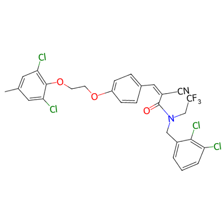 Cc1cc(Cl)c(OCCOc2ccc(C=C(C#N)C(=O)N(Cc3cccc(Cl)c3Cl)CC(F)(F)F)cc2)c(Cl)c1